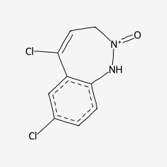 O=[N+]1CC=C(Cl)c2cc(Cl)ccc2N1